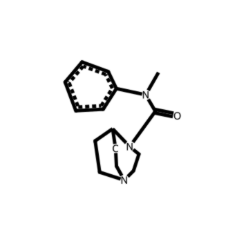 CN(C(=O)N1CCN2CCC1CC2)c1ccccc1